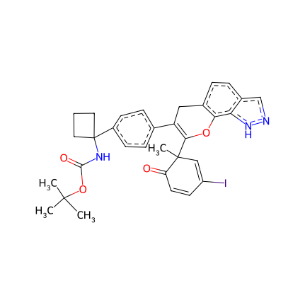 CC(C)(C)OC(=O)NC1(c2ccc(C3=C(C4(C)C=C(I)C=CC4=O)Oc4c(ccc5cn[nH]c45)C3)cc2)CCC1